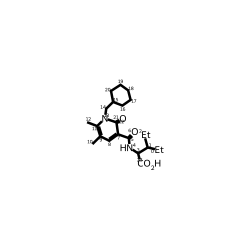 CCC(CC)C(NC(=O)c1cc(C)c(C)n(CC2CCCCC2)c1=O)C(=O)O